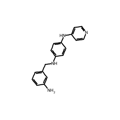 Nc1cccc(CNc2ccc(Nc3ccncc3)cc2)c1